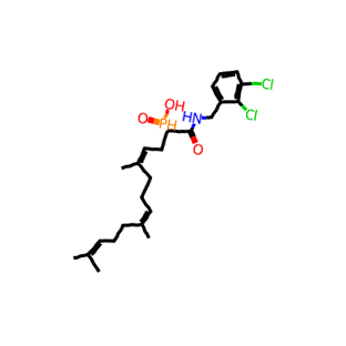 CC(C)=CCCC(C)=CCCC(C)=CCC(C(=O)NCc1cccc(Cl)c1Cl)[PH](=O)O